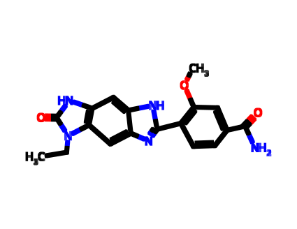 CCn1c(=O)[nH]c2cc3[nH]c(-c4ccc(C(N)=O)cc4OC)nc3cc21